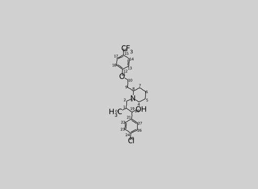 CC(CN1CCCCC1CCOc1ccc(C(F)(F)F)cc1)C(O)c1ccc(Cl)cc1